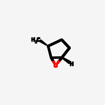 C[C@@H]1CC[C@@H]2OC12